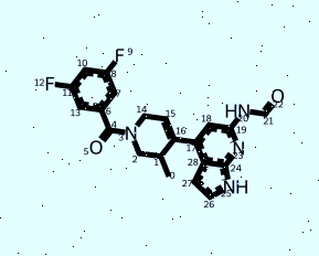 CC1CN(C(=O)c2cc(F)cc(F)c2)CC=C1c1cc(NC=O)nc2[nH]ccc12